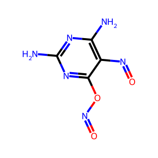 Nc1nc(N)c(N=O)c(ON=O)n1